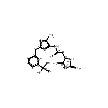 Cc1nc(Cc2cccc(C(F)(F)F)c2)sc1NC(=O)CC1NC(=O)NC1=O